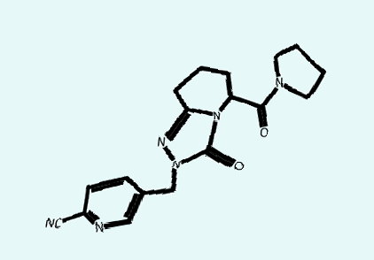 N#Cc1ccc(Cn2nc3n(c2=O)C(C(=O)N2CCCC2)CCC3)cn1